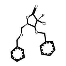 O=C1O[C@H](COCc2ccccc2)C(OCc2ccccc2)[C@]1(F)Cl